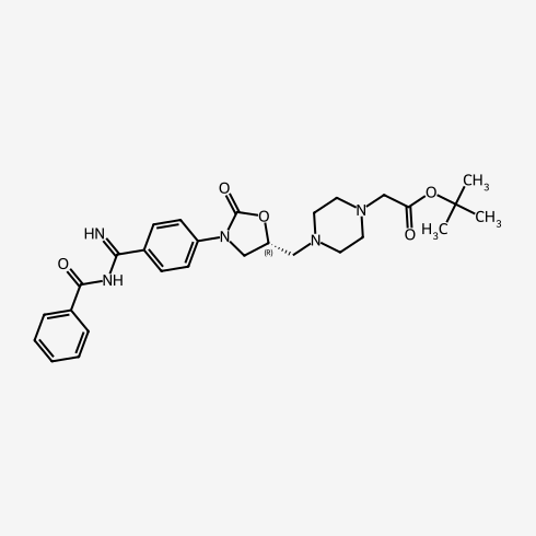 CC(C)(C)OC(=O)CN1CCN(C[C@@H]2CN(c3ccc(C(=N)NC(=O)c4ccccc4)cc3)C(=O)O2)CC1